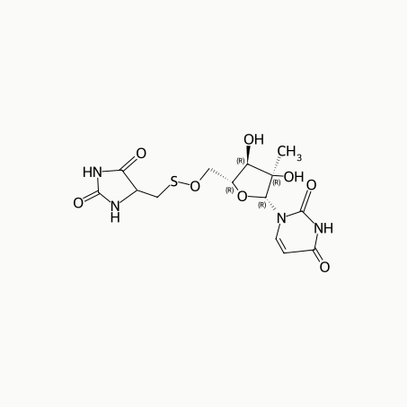 C[C@@]1(O)[C@H](O)[C@@H](COSCC2NC(=O)NC2=O)O[C@H]1n1ccc(=O)[nH]c1=O